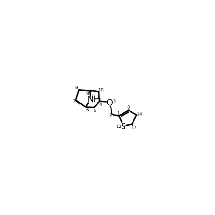 C1=C(COC2CC3CCC(C2)N3)SCC1